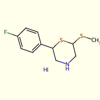 CSC1CNCC(c2ccc(F)cc2)S1.I